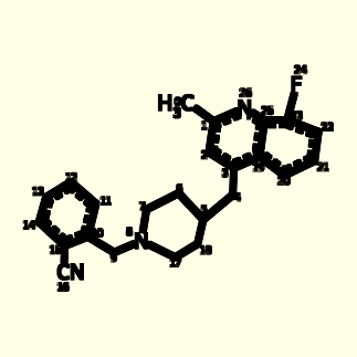 Cc1cc(CC2CCN(Cc3ccccc3C#N)CC2)c2cccc(F)c2n1